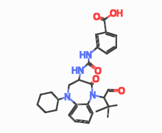 CC(C)(C)C(C=O)N1C(=O)C(NC(=O)Nc2cccc(C(=O)O)c2)CN(C2CCCCC2)c2ccccc21